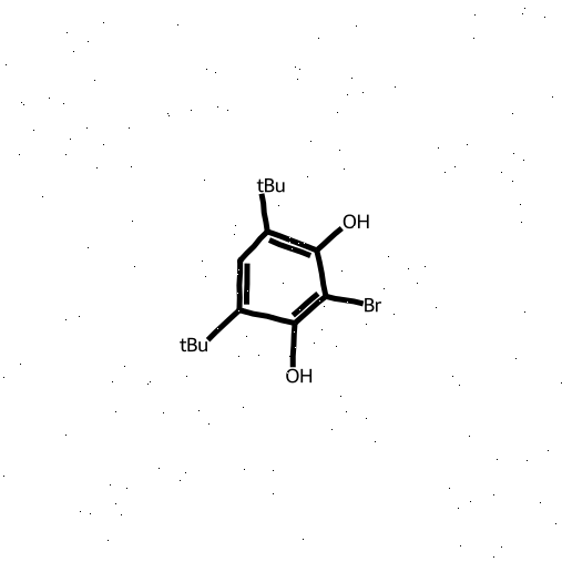 CC(C)(C)c1cc(C(C)(C)C)c(O)c(Br)c1O